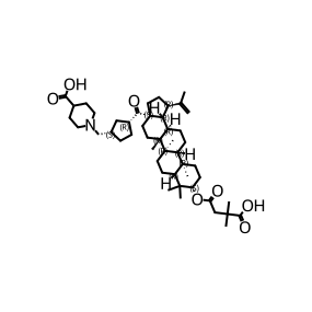 C=C(C)[C@@H]1CC[C@]2(C(=O)[C@@H]3CC[C@H](CN4CCC(C(=O)O)CC4)C3)CC[C@]3(C)[C@H](CC[C@@H]4[C@@]5(C)CC[C@H](OC(=O)CC(C)(C)C(=O)O)C(C)(C)[C@@H]5CC[C@]43C)[C@@H]12